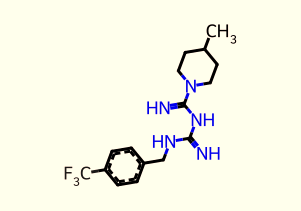 CC1CCN(C(=N)NC(=N)NCc2ccc(C(F)(F)F)cc2)CC1